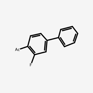 CC(=O)c1ccc(-c2ccccc2)cc1F